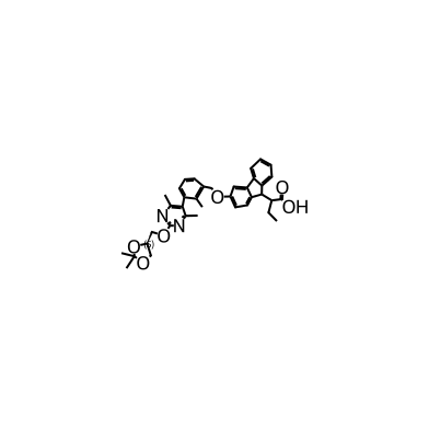 CCC(C(=O)O)C1c2ccccc2-c2cc(OCc3cccc(-c4c(C)nc(OC[C@H]5COC(C)(C)O5)nc4C)c3C)ccc21